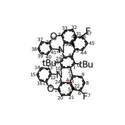 CC(C)(C)c1c(-c2ccc(F)cc2)c(N2c3ccccc3Oc3ccccc32)c(C(C)(C)C)c(N2c3ccccc3Oc3ccccc32)c1-c1ccc(F)cc1